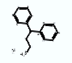 PCCC(c1ccccc1)c1ccccc1.[Ni]